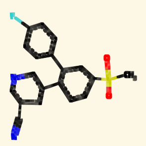 CS(=O)(=O)c1ccc(-c2cncc(C#N)c2)c(-c2ccc(F)cc2)c1